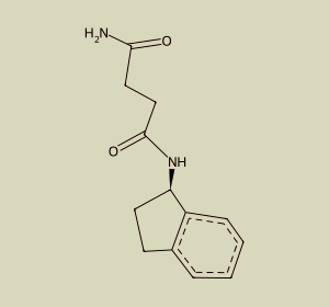 NC(=O)CCC(=O)N[C@@H]1CCc2ccccc21